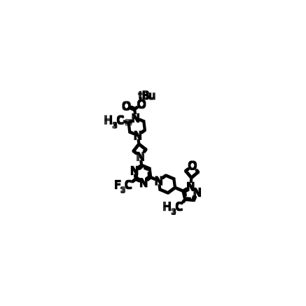 Cc1cnn(C2COC2)c1C1CCN(c2cc(N3CC(N4CCN(C(=O)OC(C)(C)C)[C@H](C)C4)C3)nc(C(F)(F)F)n2)CC1